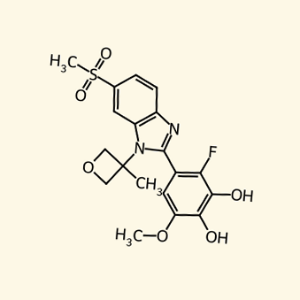 COc1cc(-c2nc3ccc(S(C)(=O)=O)cc3n2C2(C)COC2)c(F)c(O)c1O